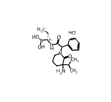 CC[C@H](NC(=O)C(c1ccccc1)N1CCCC(N)(C(C)C)C1=O)B(O)O.Cl